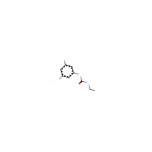 O=Cc1cc(Br)cc(NC(=O)NCC(F)(F)F)c1